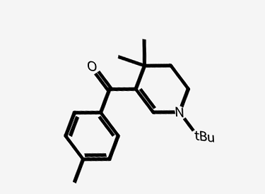 Cc1ccc(C(=O)C2=CN(C(C)(C)C)CCC2(C)C)cc1